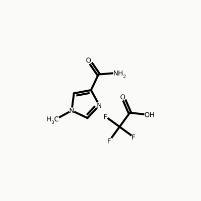 Cn1cnc(C(N)=O)c1.O=C(O)C(F)(F)F